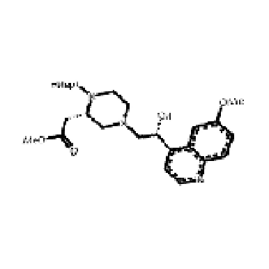 CCCCCCCN1CCN(C[C@H](O)c2ccnc3ccc(OC)cc23)C[C@@H]1CC(=O)OC